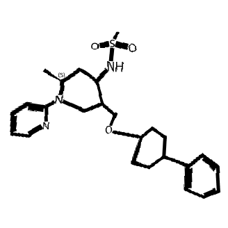 C[C@H]1CC(NS(C)(=O)=O)C(COC2CCC(c3ccccc3)CC2)CN1c1ccccn1